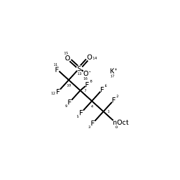 CCCCCCCCC(F)(F)C(F)(F)C(F)(F)C(F)(F)S(=O)(=O)[O-].[K+]